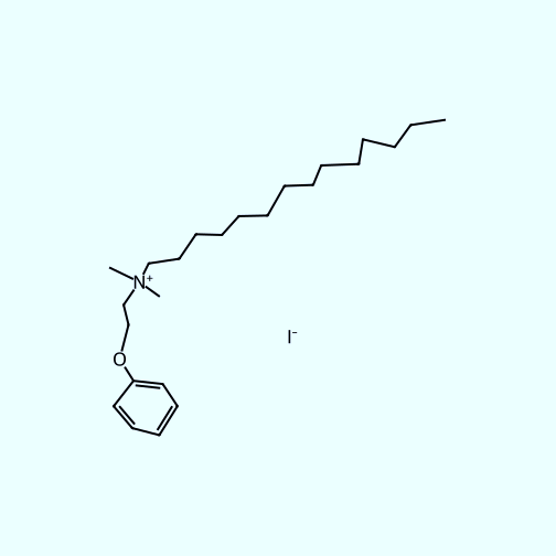 CCCCCCCCCCCCCC[N+](C)(C)CCOc1ccccc1.[I-]